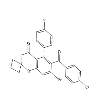 CC(C)c1cc2c(c(-c3ccc(F)cc3)c1C(=O)c1ccc(C(F)(F)F)cc1)C(=O)CC1(CCC1)O2